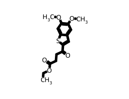 CCOC(=O)CCC(=O)c1cc2cc(OC)c(OC)cc2s1